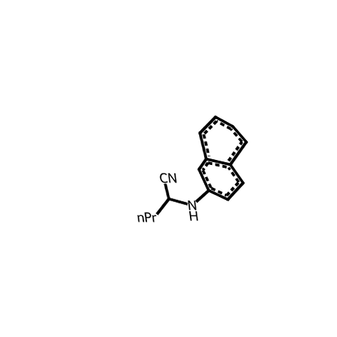 CCCC(C#N)Nc1ccc2ccccc2c1